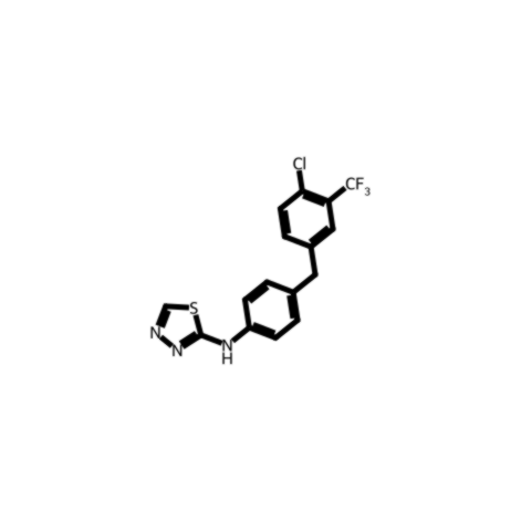 FC(F)(F)c1cc(Cc2ccc(Nc3nncs3)cc2)ccc1Cl